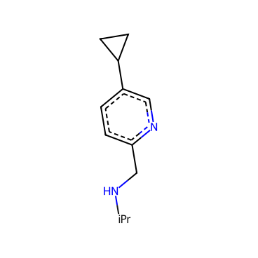 CC(C)NCc1ccc(C2CC2)cn1